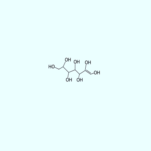 O/C=C(\O)C(O)C(O)C(O)C(O)CO